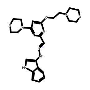 C(=N\Nc1c[nH]c2ccccc12)/c1nc(OCCN2CCOCC2)cc(N2CCOCC2)n1